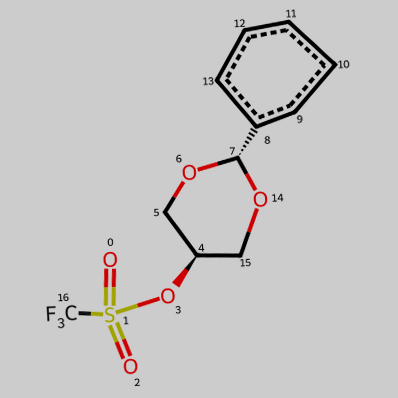 O=S(=O)(O[C@H]1CO[C@H](c2ccccc2)OC1)C(F)(F)F